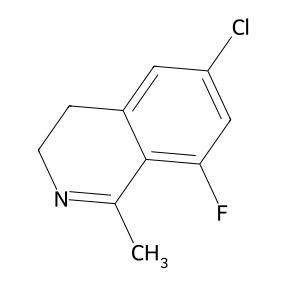 CC1=NCCc2cc(Cl)cc(F)c21